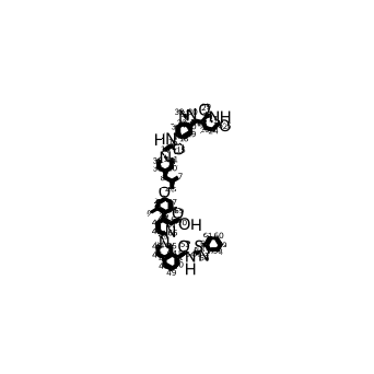 Cc1cc(OCC(C)CC2CCN(CC(=O)Nc3ccc4c(C5CCC(=O)NC5=O)nn(C)c4c3)CC2)ccc1-c1ccc(N2CCc3cccc(C(=O)Nc4nc5ccccc5s4)c3C2)nc1C(=O)O